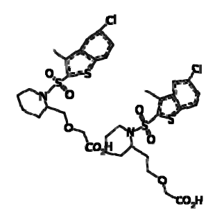 Cc1c(S(=O)(=O)N2CCCCC2CCOCC(=O)O)sc2ccc(Cl)cc12.Cc1c(S(=O)(=O)N2CCCCC2COCC(=O)O)sc2ccc(Cl)cc12